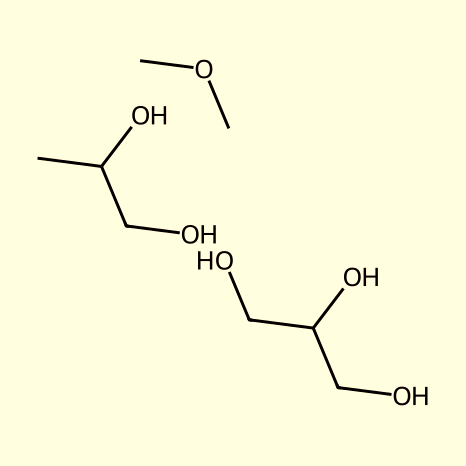 CC(O)CO.COC.OCC(O)CO